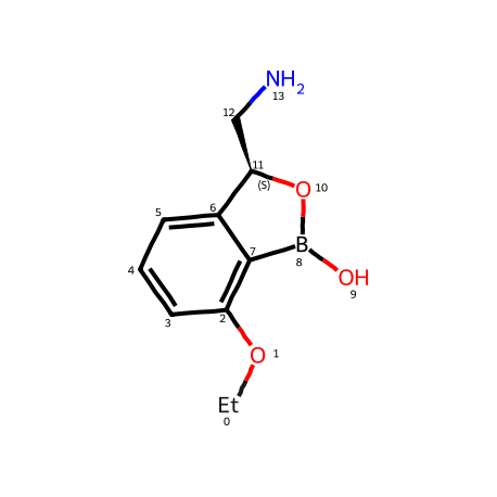 CCOc1cccc2c1B(O)O[C@@H]2CN